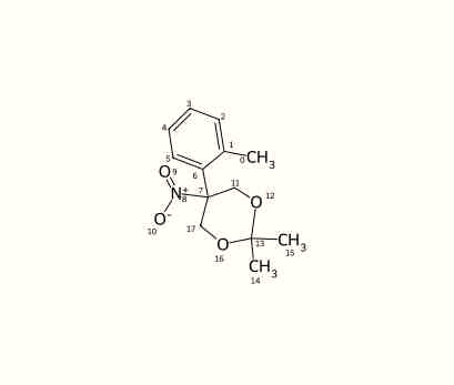 Cc1ccccc1C1([N+](=O)[O-])COC(C)(C)OC1